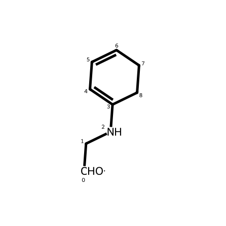 O=[C]CNC1=CC=CCC1